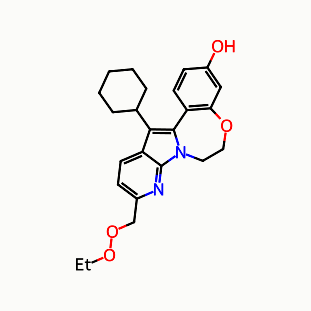 CCOOCc1ccc2c(C3CCCCC3)c3n(c2n1)CCOc1cc(O)ccc1-3